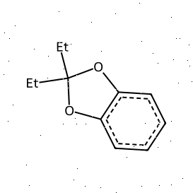 CCC1(CC)Oc2ccccc2O1